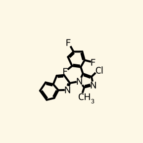 Cc1nc(Cl)c(-c2c(F)cc(F)cc2F)n1-c1ccc2ccccc2n1